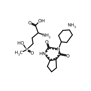 CP(=O)(O)CCC(N)C(=O)O.N.O=c1[nH]c2c(c(=O)n1C1CCCCC1)CCC2